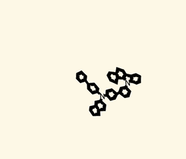 c1ccc(-c2ccc(N(c3ccc(-c4cccc(-n5c6ccccc6c6ccc7ccccc7c65)c4)cc3)c3ccc4ccccc4c3)cc2)cc1